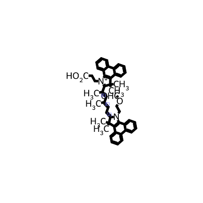 CC(=C\C=C1/N(CCOC=O)c2c(c3ccccc3c3ccccc23)C1(C)C)/C=C(\C)C1=[N+](CCC(=O)O)c2c(c3ccccc3c3ccccc23)C1(C)C